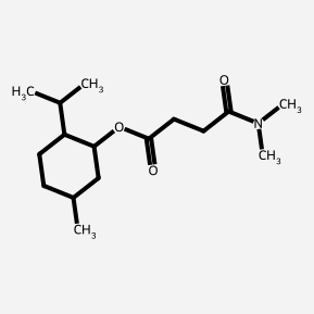 CC1CCC(C(C)C)C(OC(=O)CCC(=O)N(C)C)C1